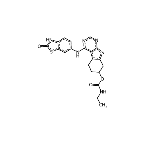 CCNC(=O)OC1CCc2c(sc3ncnc(Nc4ccc5[nH]c(=O)sc5c4)c23)C1